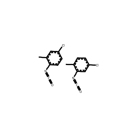 Cc1cc(Cl)ccc1N=C=O.Cc1ccc(Cl)cc1N=C=O